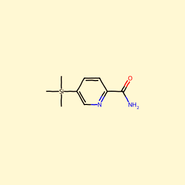 C[Si](C)(C)c1ccc(C(N)=O)nc1